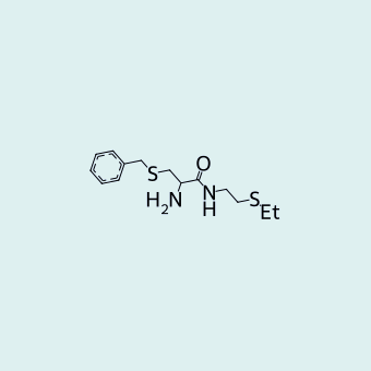 CCSCCNC(=O)C(N)CSCc1ccccc1